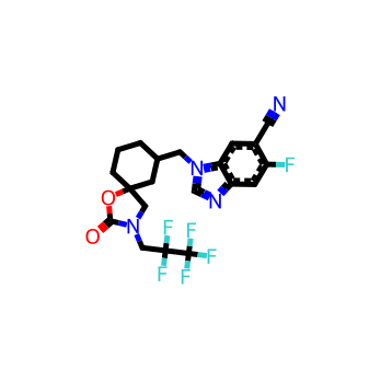 N#Cc1cc2c(cc1F)ncn2CC1CCCC2(C1)CN(CC(F)(F)C(F)(F)F)C(=O)O2